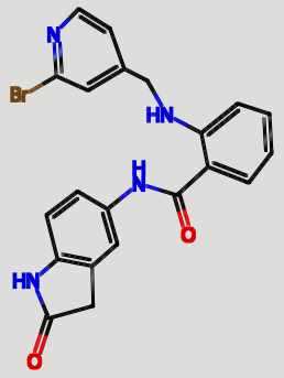 O=C1Cc2cc(NC(=O)c3ccccc3NCc3ccnc(Br)c3)ccc2N1